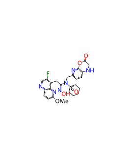 COc1ccc2ncc(F)c(CC(=NO)N(Cc3ccc4c(n3)OC(=O)CN4)C34CCC(CC3)OC4)c2n1